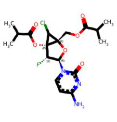 CC(C)C(=O)OC[C@@]12O[C@@H](n3ccc(N)nc3=O)[C@H](F)[C@@]1(OC(=O)C(C)C)C2Cl